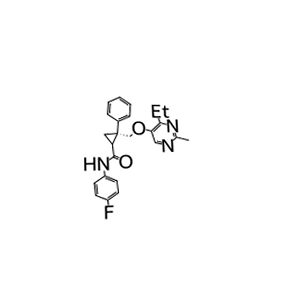 CCc1nc(C)ncc1OC[C@@]1(c2ccccc2)CC1C(=O)Nc1ccc(F)cc1